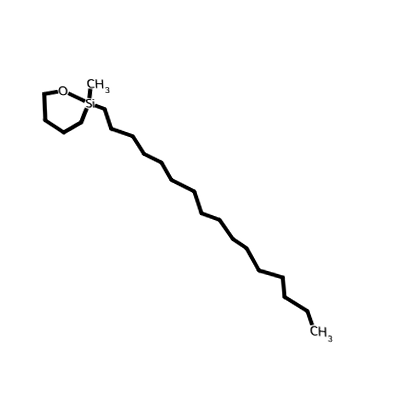 CCCCCCCCCCCCCCCC[Si]1(C)CCCCO1